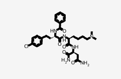 CN(C)CCCC[C@H](NC(=O)[C@H](CCc1ccc(Cl)cc1)NC(=O)c1ccccc1)C(=O)N[C@@H](CC(N)=O)C(N)=O